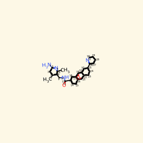 Cc1cc(N)nc(C)c1CNC(=O)c1ccc2c(c1)c1oc2c2ccc(-c3ccccn3)cc21